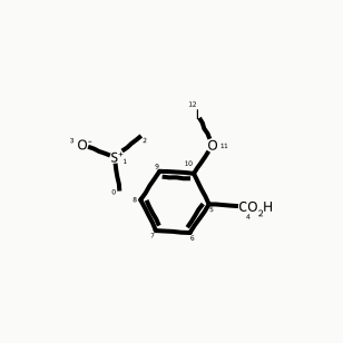 C[S+](C)[O-].O=C(O)c1ccccc1OI